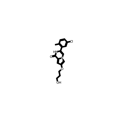 Cc1ccc(Cl)cc1-c1cn2cc(OCCCO)cc2c(=O)[nH]1